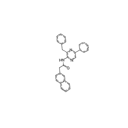 O=C(Cc1ccc2ccccc2c1)Nc1ncc(-c2ccccc2)nc1Cc1ccccc1